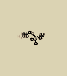 CS(=O)(=O)NC(=O)c1cccc(OCCCN(Cc2cccc(C(F)(F)F)c2Cl)CC(c2ccccc2)c2ccccc2)c1